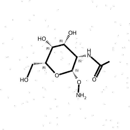 CC(=O)N[C@@H]1[C@H](ON)O[C@H](CO)[C@H](O)[C@@H]1O